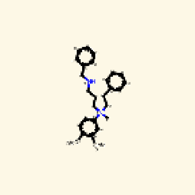 COc1ccc([N+](C)(CCCNCc2ccccc2)CCc2ccccc2)cc1OC